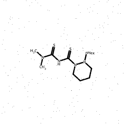 CCCCCCN1CCCCN1C(=S)NC(=S)N(C)C